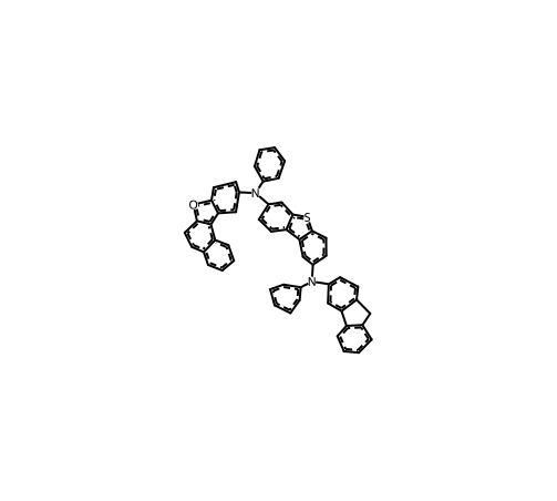 c1ccc(N(c2ccc3c(c2)-c2ccccc2C3)c2ccc3sc4cc(N(c5ccccc5)c5ccc6oc7ccc8ccccc8c7c6c5)ccc4c3c2)cc1